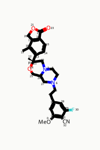 COc1cc(CCN2CCN3C[C@@](C)(c4ccc5c(c4C)COC5=O)OCC3C2)cc(F)c1C#N